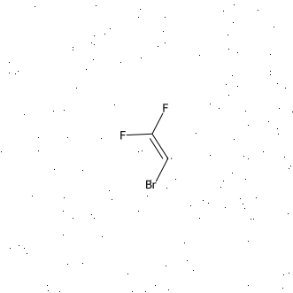 FC(F)=[C]Br